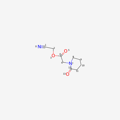 N#CCOC(=O)CN1CCCCC1=O